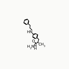 CC(Cc1ccc(NCCCc2ccccc2)cc1)C(=O)NN